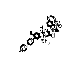 C=Cc1cc(Nc2ncc(Cl)c(Nc3ccc4nccnc4c3N(C3CC3)S(C)(=O)=O)n2)c(OC(F)(F)F)cc1N1CCC(N2CCN(C)CC2)CC1